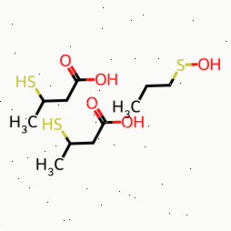 CC(S)CC(=O)O.CC(S)CC(=O)O.CCCSO